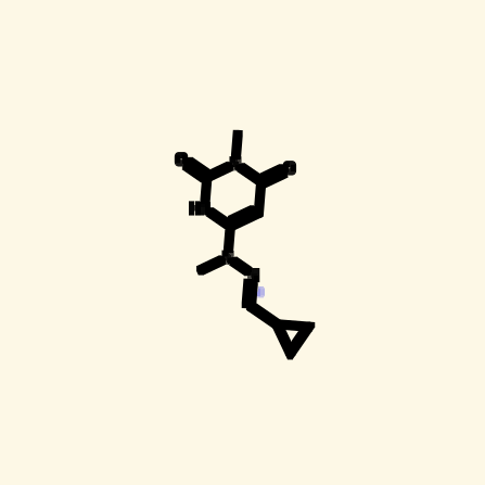 CN(/N=C/C1CC1)c1cc(=O)n(C)c(=O)[nH]1